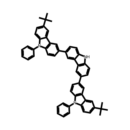 CC(C)(C)c1ccc2c(c1)c1cc(-c3ccc4[nH]c5ccc(-c6ccc7c(c6)c6cc(C(C)(C)C)ccc6n7-c6ccccc6)cc5c4c3)ccc1n2-c1ccccc1